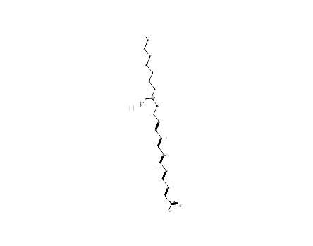 CCCCCCCCC(CCC=CC=CC=CC=CC=CC(=O)O)OO